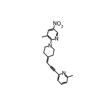 Cc1cccc(C#CC=C2CCN(c3ncc([N+](=O)[O-])cc3C)CC2)n1